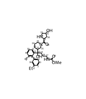 CCc1cccc(-c2c(F)cccc2C(O)(CCCNC(=O)OC)C2CCCN(C(=O)C3CC(O)CN3)C2)c1